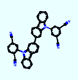 N#Cc1cc(C#N)cc(-n2c3ccccc3c3ccc(-c4ccc5c6ccccc6n(-c6cc(C#N)ccc6C#N)c5c4)cc32)c1